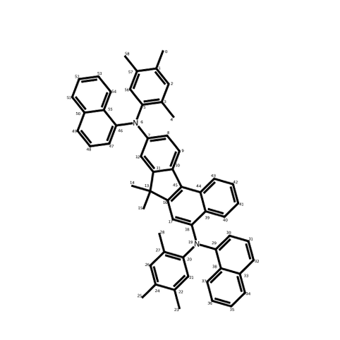 Cc1cc(C)c(N(c2ccc3c(c2)C(C)(C)c2cc(N(c4cc(C)c(C)cc4C)c4cccc5ccccc45)c4ccccc4c2-3)c2cccc3ccccc23)cc1C